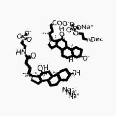 CCCCCCCCCCCCOS(=O)(=O)[O-].C[C@H](CCC(=O)NCCS(=O)(=O)[O-])[C@H]1CCC2C3CCC4C[C@H](O)CC[C@]4(C)C3C[C@H](O)[C@@]21C.C[C@H](CCC(=O)[O-])[C@H]1CCC2C3CC[C@@H]4C[C@H]([O-])CC[C@]4(C)C3C[C@H](O)[C@@]21C.[Na+].[Na+].[Na+].[Na+]